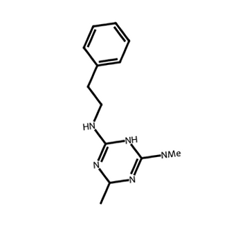 CNC1=NC(C)N=C(NCCc2ccccc2)N1